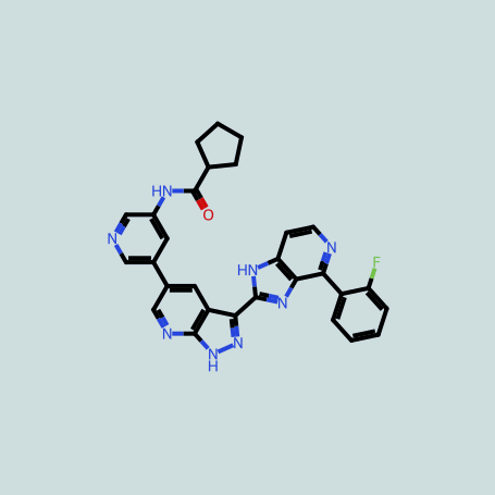 O=C(Nc1cncc(-c2cnc3[nH]nc(-c4nc5c(-c6ccccc6F)nccc5[nH]4)c3c2)c1)C1CCCC1